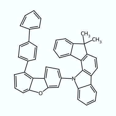 CC1(C)c2ccccc2-c2c1ccc1c3ccccc3n(-c3ccc4c(c3)oc3cccc(-c5ccc(-c6ccccc6)cc5)c34)c21